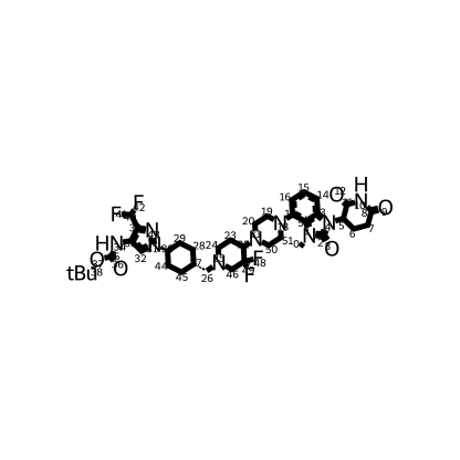 Cn1c(=O)n(C2CCC(=O)NC2=O)c2cccc(N3CCN(C4CCN(C[C@H]5CC[C@H](n6cc(NC(=O)OC(C)(C)C)c(C(F)F)n6)CC5)CC4(F)F)CC3)c21